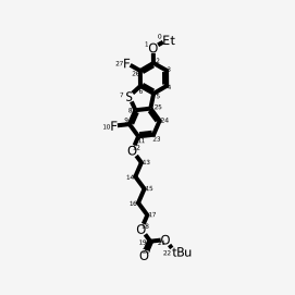 CCOc1ccc2c(sc3c(F)c(OCCCCCOC(=O)OC(C)(C)C)ccc32)c1F